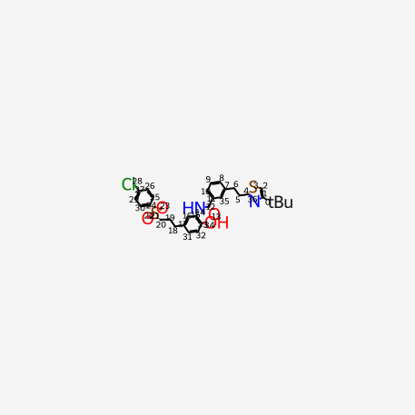 CC(C)(C)c1csc(CCc2cccc(C(=O)Nc3cc(CCCS(=O)(=O)c4ccc(Cl)cc4)ccc3O)c2)n1